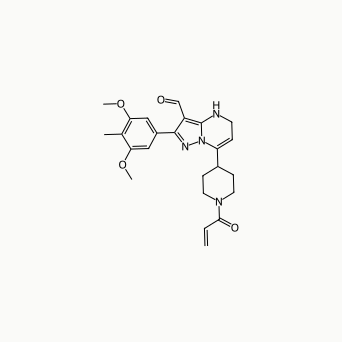 C=CC(=O)N1CCC(C2=CCNc3c(C=O)c(-c4cc(OC)c(C)c(OC)c4)nn32)CC1